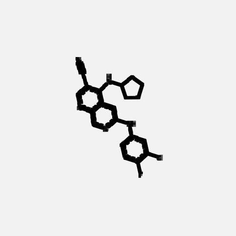 N#Cc1cnc2cnc(Nc3ccc(F)c(Cl)c3)cc2c1NC1CCCC1